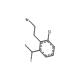 Clc1cccc(C(I)I)c1CCBr